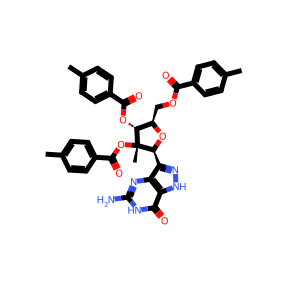 Cc1ccc(C(=O)OC[C@H]2O[C@@H](c3n[nH]c4c(=O)[nH]c(N)nc34)[C@](C)(OC(=O)c3ccc(C)cc3)[C@@H]2OC(=O)c2ccc(C)cc2)cc1